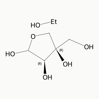 CCO.OC[C@@]1(O)COC(O)[C@@H]1O